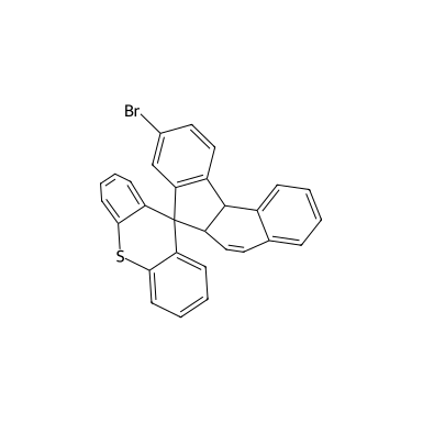 Brc1ccc2c(c1)C1(c3ccccc3Sc3ccccc31)C1C=Cc3ccccc3C21